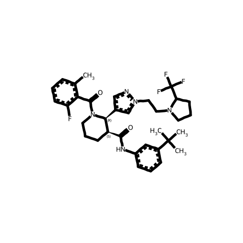 Cc1cccc(F)c1C(=O)N1CCC[C@H](C(=O)Nc2cccc(C(C)(C)C)c2)[C@@H]1c1cnn(CCN2CCCC2C(F)(F)F)c1